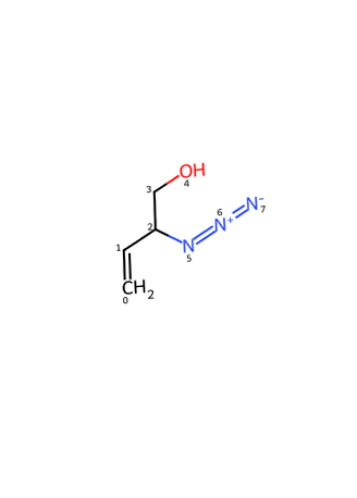 C=CC(CO)N=[N+]=[N-]